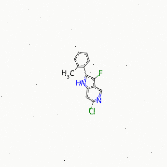 Cc1ccccc1-c1[nH]c2cc(Cl)ncc2c1F